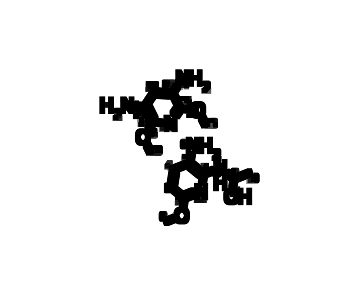 COc1ccc(N)c(NC(C)O)n1.COc1nc(OC)c(N)cc1N